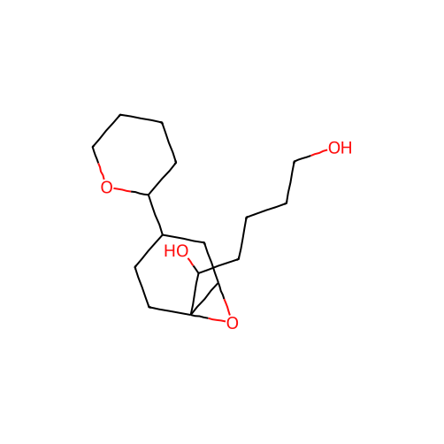 OCCCCC(O)C12CCC(C3CCCCO3)CC1O2